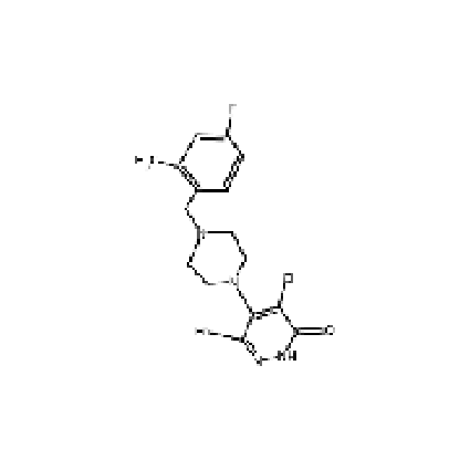 Cc1cc(F)ccc1CN1CCN(c2c(Br)n[nH]c(=O)c2Cl)CC1